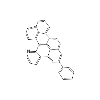 c1ccc(-c2cc3c4c5c(ccc4c2)-c2cccc4cccc(c24)N5c2ncccc2-3)cc1